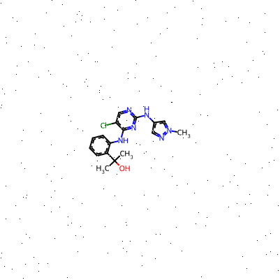 Cn1cc(Nc2ncc(Cl)c(Nc3ccccc3C(C)(C)O)n2)cn1